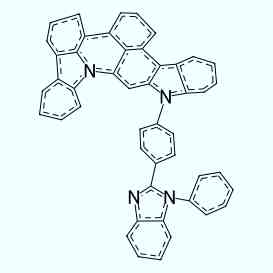 c1ccc(-n2c(-c3ccc(-n4c5ccccc5c5c6cccc7c8cccc9c%10ccccc%10n(c(cc54)c76)c89)cc3)nc3ccccc32)cc1